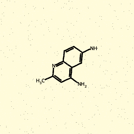 Cc1cc(N)c2cc([NH])ccc2n1